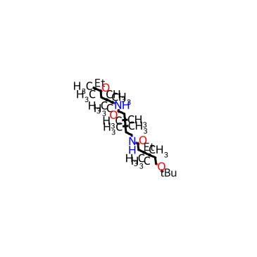 CCC(C)(C)C(=O)CC(C)(C)C(C)(C)NC(=O)CC(C)(C)C(C)(C)CCNC(=O)CC(C)(CC)C(C)(C)CCOC(C)(C)C